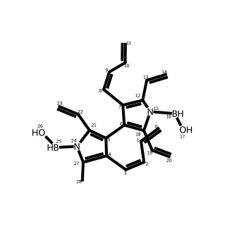 C=C/C=C\c1c(-c2c(/C=C\C=C)c(C=C)n(BO)c2C=C)c(C=C)n(BO)c1C